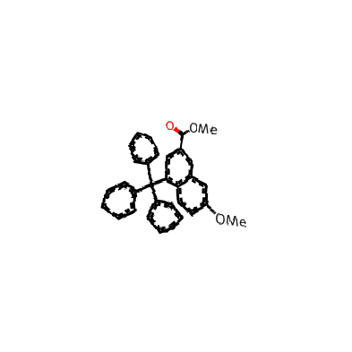 COC(=O)c1cc(C(c2ccccc2)(c2ccccc2)c2ccccc2)c2ccc(OC)cc2c1